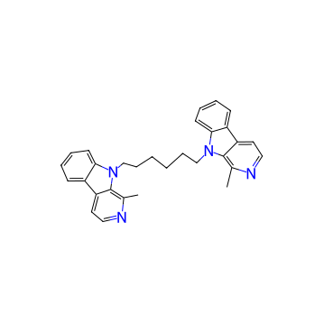 Cc1nccc2c3ccccc3n(CCCCCCn3c4ccccc4c4ccnc(C)c43)c12